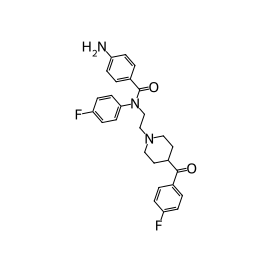 Nc1ccc(C(=O)N(CCN2CCC(C(=O)c3ccc(F)cc3)CC2)c2ccc(F)cc2)cc1